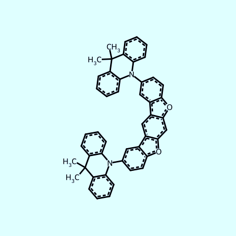 CC1(C)c2ccccc2N(c2ccc3oc4cc5oc6ccc(N7c8ccccc8C(C)(C)c8ccccc87)cc6c5cc4c3c2)c2ccccc21